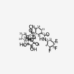 O=C(Nc1cc(F)c(F)c(F)c1)c1ccc(Cl)c(S(=O)(=O)C2[C@H]3C4CCC23C[C@@]42OC(=O)[C@@H](O)[C@@H]2O)c1